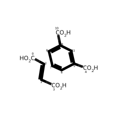 O=C(O)C=CC(=O)O.O=C(O)c1cccc(C(=O)O)c1